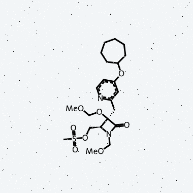 COCO[C@@]1(Cc2cc(OC3CCCCCC3)ccn2)C(=O)N(COC)[C@H]1COS(C)(=O)=O